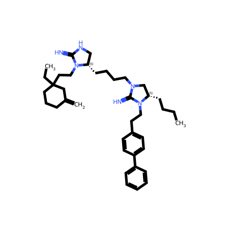 C=C1CCCC(CC)(CCN2C(=N)NC[C@@H]2CCCCN2C[C@H](CCCC)N(CCc3ccc(-c4ccccc4)cc3)C2=N)C1